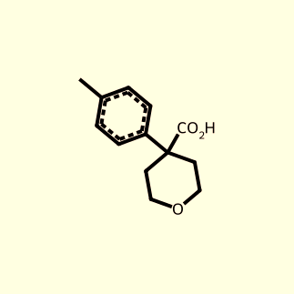 Cc1ccc(C2(C(=O)O)CCOCC2)cc1